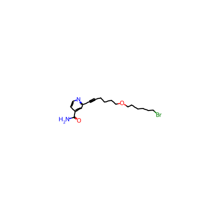 NC(=O)c1ccnc(C#CCCCCOCCCCCCBr)c1